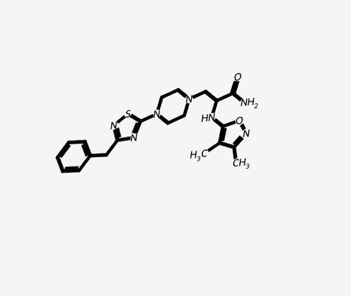 Cc1noc(NC(CN2CCN(c3nc(Cc4ccccc4)ns3)CC2)C(N)=O)c1C